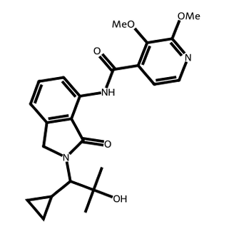 COc1nccc(C(=O)Nc2cccc3c2C(=O)N(C(C2CC2)C(C)(C)O)C3)c1OC